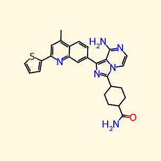 Cc1cc(-c2cccs2)nc2cc(-c3nc(C4CCC(C(N)=O)CC4)n4ccnc(N)c34)ccc12